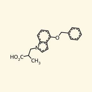 CC(Cn1ccc2c(OCc3ccccc3)cccc21)C(=O)O